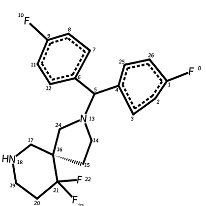 Fc1ccc(C(c2ccc(F)cc2)N2CC[C@]3(CNCCC3(F)F)C2)cc1